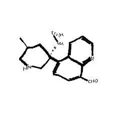 C[C@@H]1CNC[C@](NC(=O)O)(c2ccc(C=O)c3ncccc23)C1